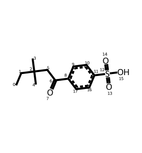 CCC(C)(C)CC(=O)c1ccc(S(=O)(=O)O)cc1